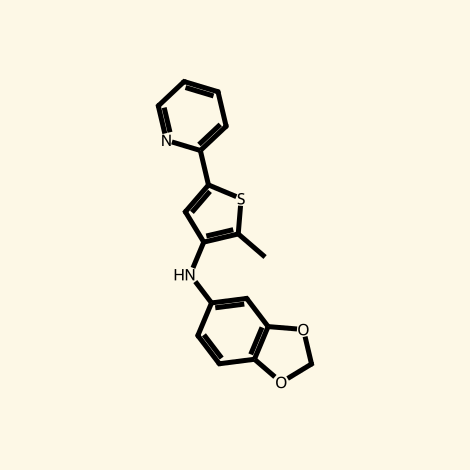 Cc1sc(-c2ccccn2)cc1Nc1ccc2c(c1)OCO2